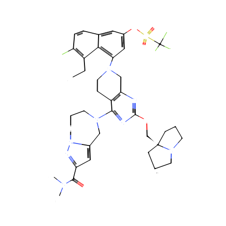 CCc1c(F)ccc2cc(OS(=O)(=O)C(F)(F)F)cc(N3CCc4c(nc(OC[C@@]56CCCN5C[C@H](F)C6)nc4N4CCCn5nc(C(=O)N(C)C)cc5C4)C3)c12